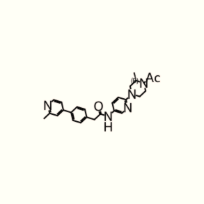 CC(=O)N1CCN(c2ccc(NC(=O)Cc3ccc(-c4ccnc(C)c4)cc3)cn2)C[C@H]1C